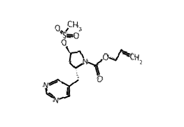 C=CCOC(=O)N1C[C@H](OS(C)(=O)=O)C[C@H]1Cc1cncnc1